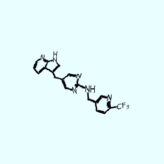 FC(F)(F)c1ccc(CNc2ncc(Cc3c[nH]c4ncccc34)cn2)cn1